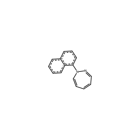 C1=CC=NN(c2cccc3ccccc23)C=C1